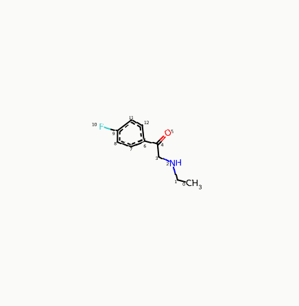 CCNCC(=O)c1ccc(F)cc1